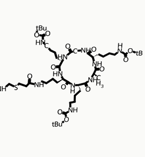 CC(=O)NCSCCC(=O)NCCCC[C@H]1NC(=O)[C@H](CCCCNC(=O)OC(C)(C)C)NC(=O)CNC(=O)[C@H](CCCCNC(=O)OC(C)(C)C)NC(=O)[C@@H](C)NC(=O)[C@H](CCCCNC(=O)OC(C)(C)C)NC1=O